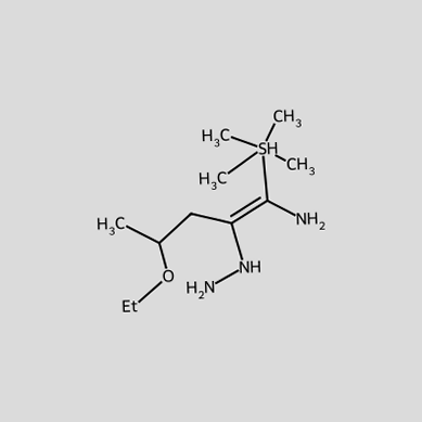 CCOC(C)C/C(NN)=C(/N)[SH](C)(C)(C)C